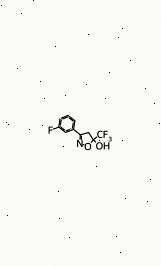 OC1(C(F)(F)F)CC(c2cccc(F)c2)=NO1